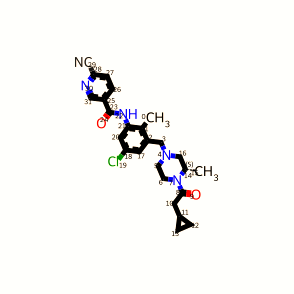 Cc1c(CN2CCN(C(=O)CC3CC3)[C@@H](C)C2)cc(Cl)cc1NC(=O)c1ccc(C#N)nc1